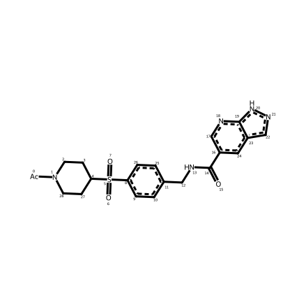 CC(=O)N1CCC(S(=O)(=O)c2ccc(CNC(=O)c3cnc4[nH]ncc4c3)cc2)CC1